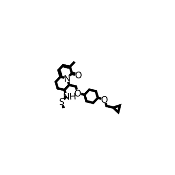 CSNC1CCc2ccc(C)c(=O)n2C1COC1CCC(OCC2CC2)CC1